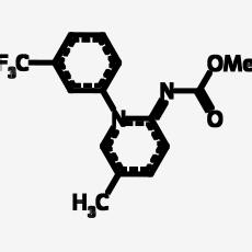 COC(=O)/N=c1\ccc(C)cn1-c1cccc(C(F)(F)F)c1